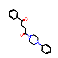 O=C(CCC(=O)N1CCN(c2ccccc2)CC1)c1ccccc1